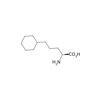 N[C@@H](CCCC1CCCCC1)C(=O)O